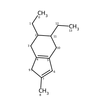 CCC1CC2=C(C=C(C)[CH]2)CC1CC